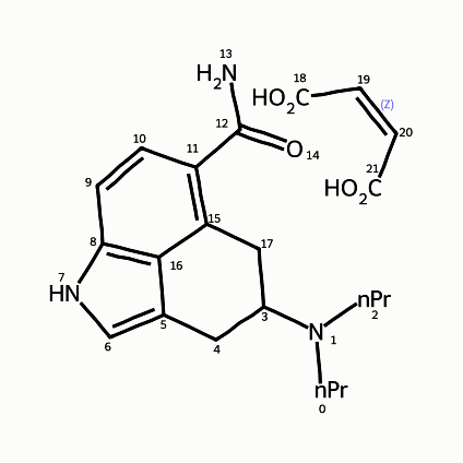 CCCN(CCC)C1Cc2c[nH]c3ccc(C(N)=O)c(c23)C1.O=C(O)/C=C\C(=O)O